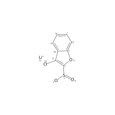 O=S([O-])c1oc2ccccc2c1Cl.[Li+]